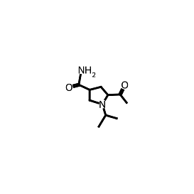 CC(=O)C1CC(C(N)=O)CN1C(C)C